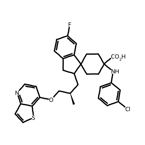 C[C@@H](COc1ccnc2ccsc12)CC1Cc2ccc(F)cc2C12CCC(Nc1cccc(Cl)c1)(C(=O)O)CC2